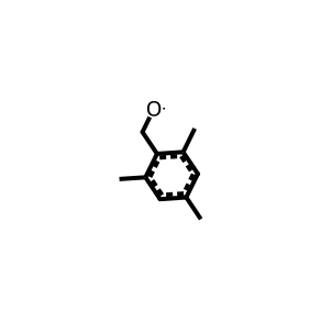 Cc1cc(C)c(C[O])c(C)c1